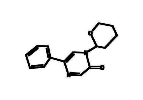 O=c1cnc(-c2ccccc2)cn1C1CCCCO1